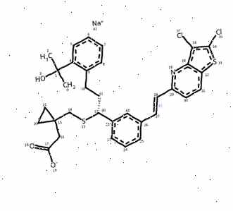 CC(C)(O)c1ccccc1CC[C@@H](SCC1(CC(=O)[O-])CC1)c1cccc(/C=C/c2ccc3sc(Cl)c(Cl)c3n2)c1.[Na+]